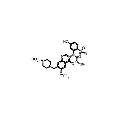 CCS(=O)(=O)c1ccc(C#N)cc1N(C(=O)OC(C)(C)C)n1cnc2cc(CN3CCN(C(=O)O)CC3)c(OC(F)(F)F)cc2c1=O